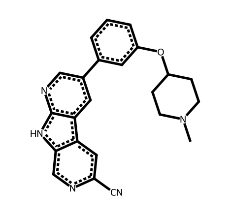 CN1CCC(Oc2cccc(-c3cnc4[nH]c5cnc(C#N)cc5c4c3)c2)CC1